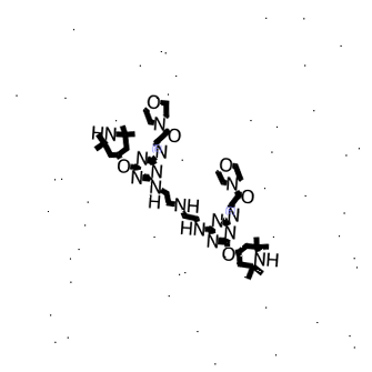 CC1(C)CC(Oc2nc(/N=C/C(=O)N3CCOCC3)nc(NCCNCCNc3nc(/N=C/C(=O)N4CCOCC4)nc(OC4CC(C)(C)NC(C)(C)C4)n3)n2)CC(C)(C)N1